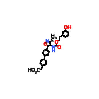 Cc1noc(-c2ccc(-c3ccc(CC(=O)O)cc3)cc2)c1NC(=O)OCCc1cccc(O)c1